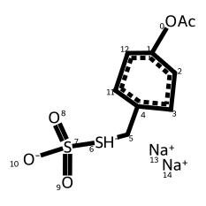 CC(=O)Oc1ccc(C[SH-]S(=O)(=O)[O-])cc1.[Na+].[Na+]